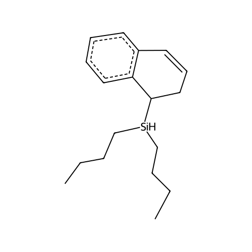 CCCC[SiH](CCCC)C1CC=Cc2ccccc21